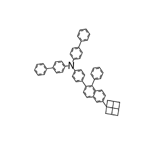 c1ccc(-c2ccc(N(c3ccc(-c4ccccc4)cc3)c3ccc(-c4ccc5cc(C67CC8CC9CC(C6)C987)ccc5c4-c4ccccc4)cc3)cc2)cc1